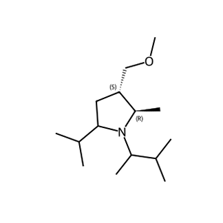 COC[C@H]1CC(C(C)C)N(C(C)C(C)C)[C@@H]1C